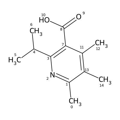 Cc1nc(C(C)C)c(C(=O)O)c(C)c1C